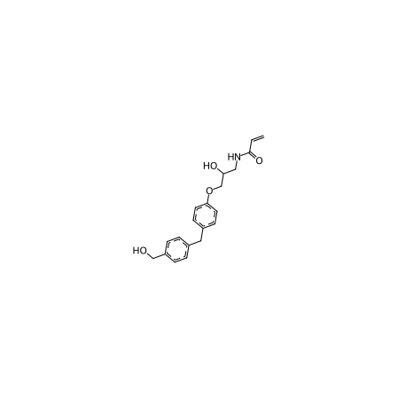 C=CC(=O)NCC(O)COc1ccc(Cc2ccc(CO)cc2)cc1